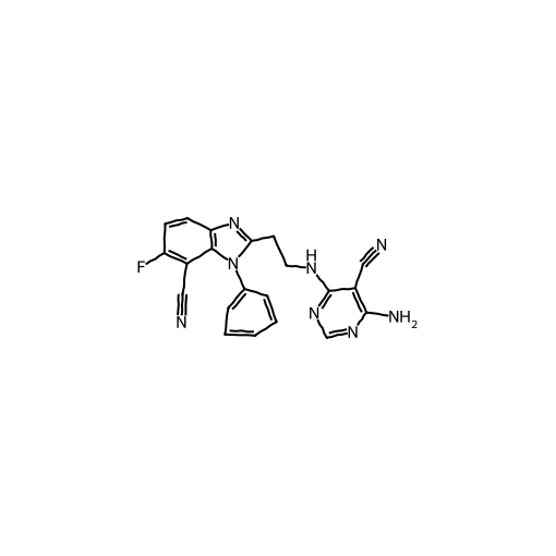 N#Cc1c(N)ncnc1NCCc1nc2ccc(F)c(C#N)c2n1-c1ccccc1